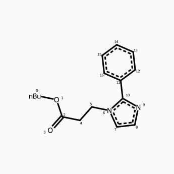 CCCCOC(=O)CCn1ccnc1-c1ccccc1